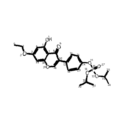 CCOc1cc(O)c2c(=O)c(-c3ccc(OP(=O)(OC(C)C)OC(C)C)cc3)coc2c1